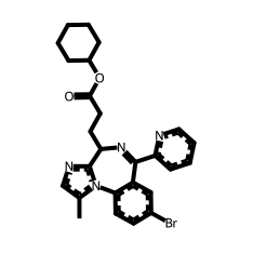 Cc1cnc2n1-c1ccc(Br)cc1C(c1ccccn1)=NC2CCC(=O)OC1CCCCC1